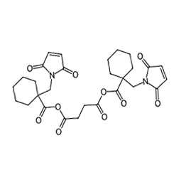 O=C(CCC(=O)OC(=O)C1(CN2C(=O)C=CC2=O)CCCCC1)OC(=O)C1(CN2C(=O)C=CC2=O)CCCCC1